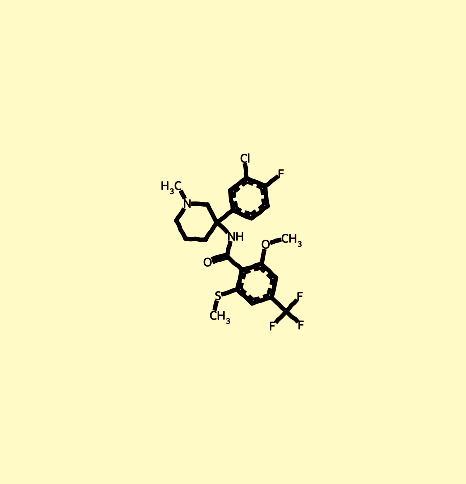 COc1cc(C(F)(F)F)cc(SC)c1C(=O)NC1(c2ccc(F)c(Cl)c2)CCCN(C)C1